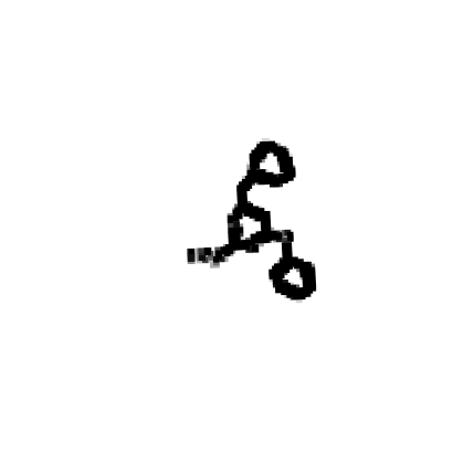 O=C(O)c1nc(Cc2ccccc2)cc(Oc2ccccc2)n1